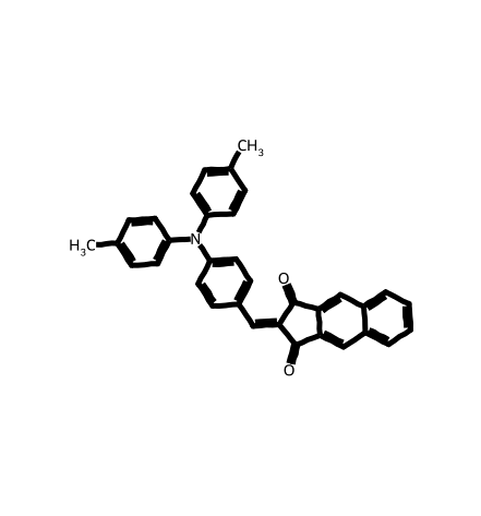 Cc1ccc(N(c2ccc(C)cc2)c2ccc(C=C3C(=O)c4cc5ccccc5cc4C3=O)cc2)cc1